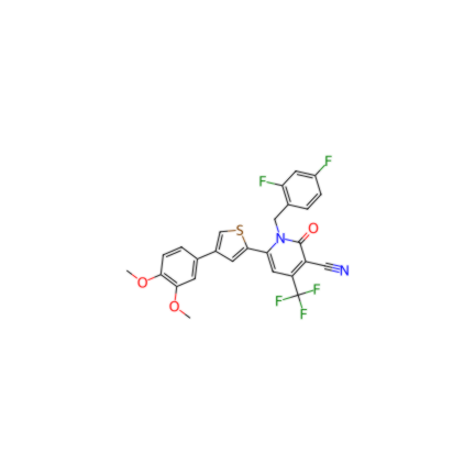 COc1ccc(-c2csc(-c3cc(C(F)(F)F)c(C#N)c(=O)n3Cc3ccc(F)cc3F)c2)cc1OC